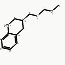 COCOC[C@@H]1CNc2ccccc2C1